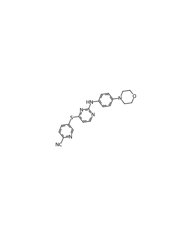 N#Cc1ccc(Sc2ccnc(Nc3ccc(N4CCOCC4)cc3)n2)cn1